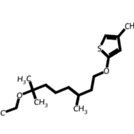 CCOC(C)(C)CCCC(C)CCOc1cc(C)cs1